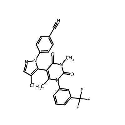 Cc1c(-c2c(Cl)cnn2-c2ccc(C#N)cc2)c(=O)n(C)c(=O)n1-c1cccc(C(F)(F)F)c1